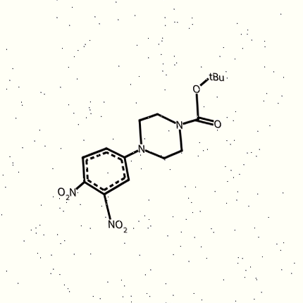 CC(C)(C)OC(=O)N1CCN(c2ccc([N+](=O)[O-])c([N+](=O)[O-])c2)CC1